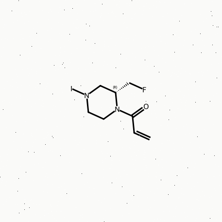 C=CC(=O)N1CCN(I)C[C@@H]1CF